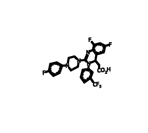 O=C(O)CC1c2cc(F)cc(F)c2N=C(N2CCN(c3ccc(F)cc3)CC2)N1c1cccc(C(F)(F)F)c1